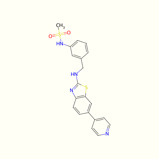 CS(=O)(=O)Nc1cccc(CNc2nc3ccc(-c4ccncc4)cc3s2)c1